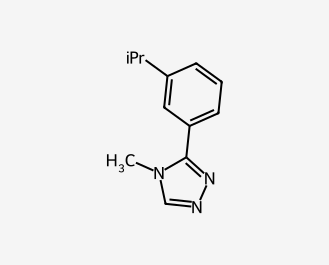 CC(C)c1cccc(-c2nncn2C)c1